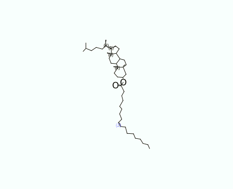 CCCCCCCC/C=C\CCCCCCCC(=O)OC1CC[C@@]2(C)C(=CCC3C2CC[C@@]2(C)C3CC[C@@H]2[C@H](C)CCCC(C)C)C1